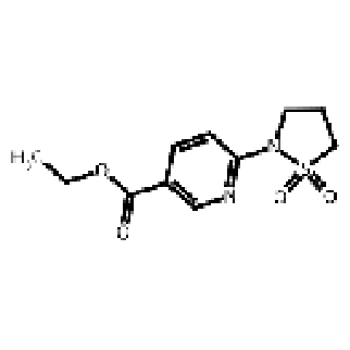 CCOC(=O)c1ccc(N2CCCS2(=O)=O)nc1